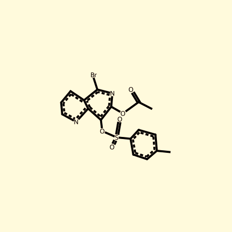 CC(=O)Oc1nc(Br)c2cccnc2c1OS(=O)(=O)c1ccc(C)cc1